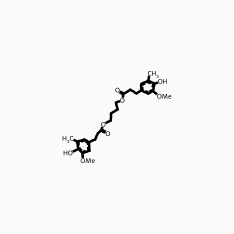 COc1cc(CCC(=O)OCCCCOC(=O)CCc2cc(C)c(O)c(OC)c2)cc(C)c1O